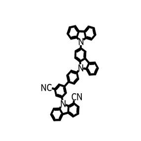 N#Cc1cc(-c2ccc(-n3c4ccccc4c4cc(-n5c6ccccc6c6ccccc65)ccc43)cc2)cc(-n2c3ccccc3c3cccc(C#N)c32)c1